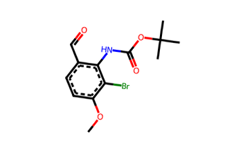 COc1ccc(C=O)c(NC(=O)OC(C)(C)C)c1Br